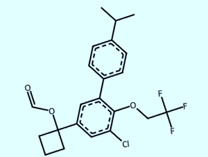 CC(C)c1ccc(-c2cc(C3(OC=O)CCC3)cc(Cl)c2OCC(F)(F)F)cc1